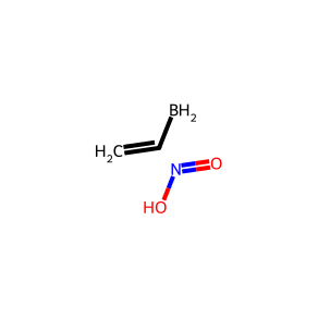 BC=C.O=NO